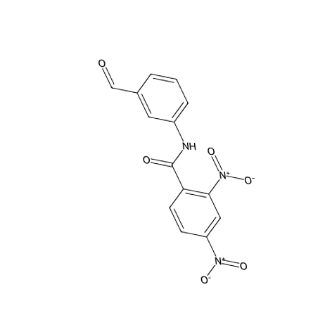 O=Cc1cccc(NC(=O)c2ccc([N+](=O)[O-])cc2[N+](=O)[O-])c1